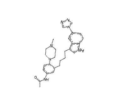 CC(=O)Nc1ccc(N2CCN(C)CC2)c(CCCCc2c[nH]c3ccc(-n4cnnc4)cc23)c1